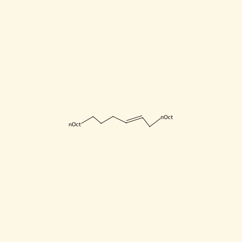 [CH2]CCCCCCCCCCC=CCCCCCCCCC